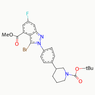 COC(=O)c1cc(F)cc2nn(-c3ccc(C4CCCN(C(=O)OC(C)(C)C)C4)cc3)c(Br)c12